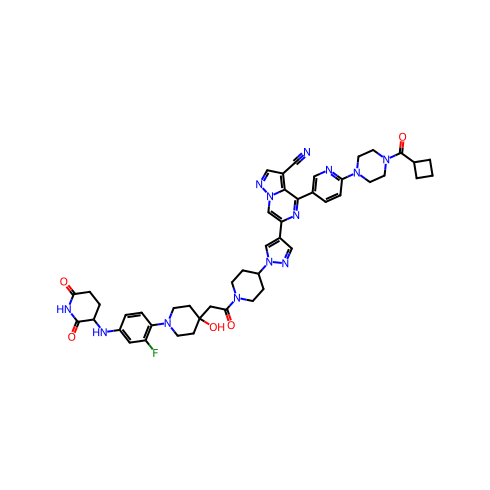 N#Cc1cnn2cc(-c3cnn(C4CCN(C(=O)CC5(O)CCN(c6ccc(NC7CCC(=O)NC7=O)cc6F)CC5)CC4)c3)nc(-c3ccc(N4CCN(C(=O)C5CCC5)CC4)nc3)c12